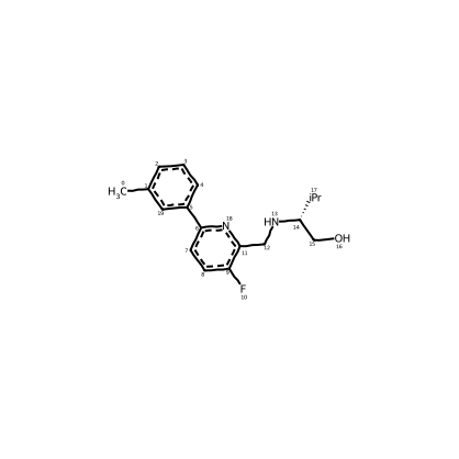 Cc1cccc(-c2ccc(F)c(CN[C@@H](CO)C(C)C)n2)c1